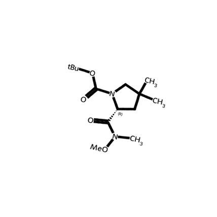 CON(C)C(=O)[C@H]1CC(C)(C)CN1C(=O)OC(C)(C)C